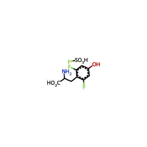 NC(Cc1c(F)cc(O)cc1F)C(=O)O.O=S(=O)(O)F